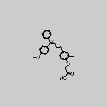 COc1ccc(/C(=C\CSc2ccc(OCC(=O)O)c(C)c2)c2ccccc2)cc1